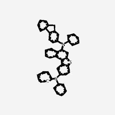 c1ccc(N(c2ccccc2)c2ccc3sc4cc(N(c5ccccc5)c5ccc6c(c5)Cc5ccccc5-6)c5ccccc5c4c3c2)cc1